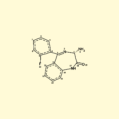 N[C@H]1N=C(c2ccccc2F)c2ccccc2NC1=O